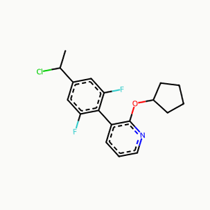 CC(Cl)c1cc(F)c(-c2cccnc2OC2CCCC2)c(F)c1